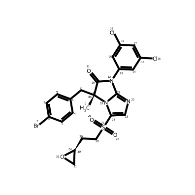 C[C@@]1(Cc2ccc(Br)cc2)C(=O)N(c2cc(Cl)cc(Cl)c2)c2ncc(S(=O)(=O)CC[C@H]3CO3)n21